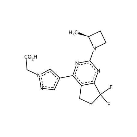 C[C@H]1CCN1c1nc(-c2cnn(CC(=O)O)c2)c2c(n1)C(F)(F)CC2